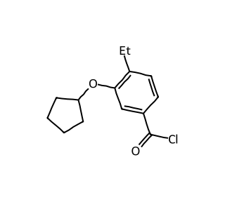 CCc1ccc(C(=O)Cl)cc1OC1CCCC1